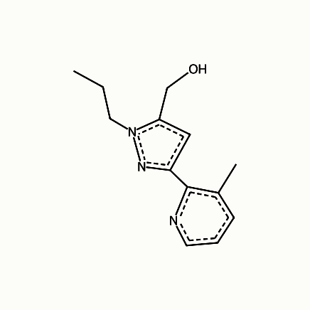 CCCn1nc(-c2ncccc2C)cc1CO